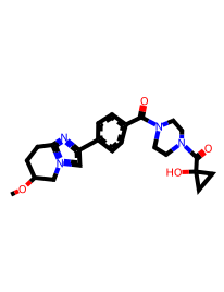 COC1CCc2nc(-c3ccc(C(=O)N4CCN(C(=O)C5(O)CC5)CC4)cc3)cn2C1